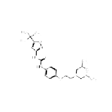 CC1CN(CCOc2ccc(NC(=O)Nc3cc(C(C)(C)C)on3)cc2)CC(C)O1